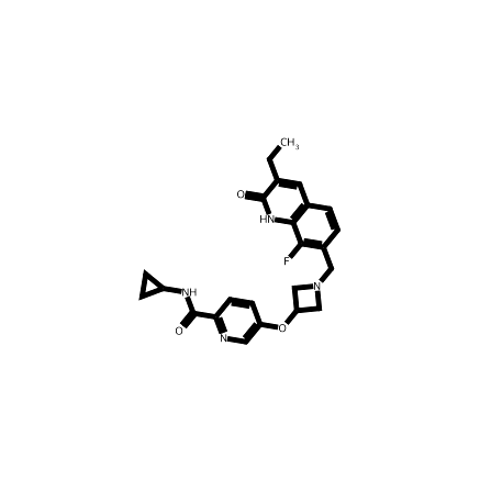 CCc1cc2ccc(CN3CC(Oc4ccc(C(=O)NC5CC5)nc4)C3)c(F)c2[nH]c1=O